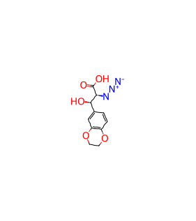 [N-]=[N+]=N[C@H](C(=O)O)[C@H](O)c1ccc2c(c1)OCCO2